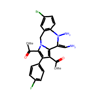 COC(=O)c1c(-c2ccc(F)cc2)c(C(=O)OC)n2c1/C(=C/N)N(N)c1ccc(Br)cc1C2